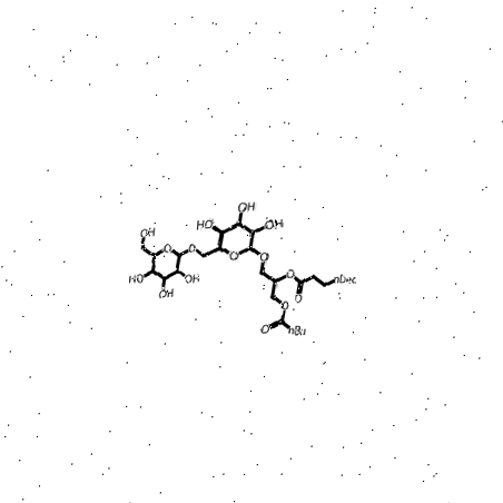 CCCCCCCCCCCCC(=O)OC(COC(=O)CCCC)COC1OC(COC2OC(CO)C(O)C(O)C2O)C(O)C(O)C1O